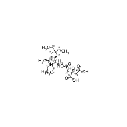 CC[N+](CC)(CC)CC.CC[N+](CC)(CC)CC.O=C(O)CC(O)(CC(=O)O)C(=O)O